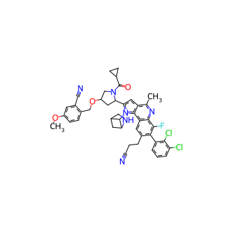 COc1ccc(COC2CC(c3cc4c(C)nc5c(F)c(-c6cccc(Cl)c6Cl)c(CCC#N)cc5c4n3C3C4CNC3C4)N(C(=O)C3CC3)C2)c(C#N)c1